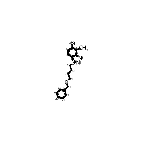 Cc1c(Br)ccc2c1nnn2CCCCOCc1ccccc1